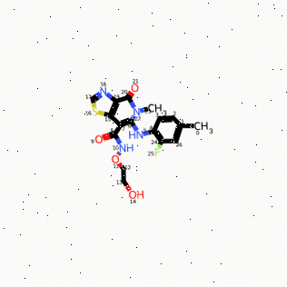 Cc1ccc(Nc2c(C(=O)NOCCO)c3scnc3c(=O)n2C)c(F)c1